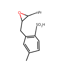 CCCC1OC1Cc1cc(C)ccc1S(=O)(=O)O